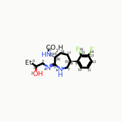 CCC(O)C/N=C1/NC[C@H](c2cccc(F)c2F)CC[C@H]1NC(=O)O